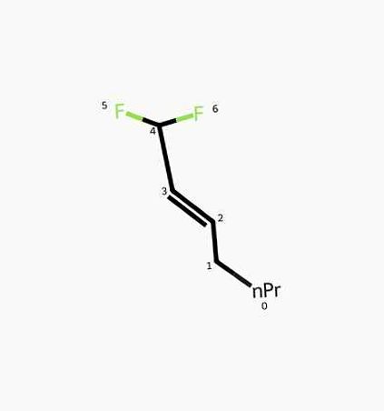 CCCCC=CC(F)F